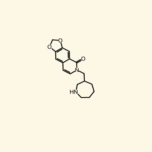 O=c1c2cc3c(cc2ccn1CC1CCCCNC1)OCO3